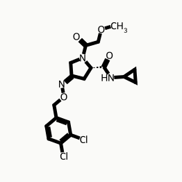 COCC(=O)N1CC(=NOCc2ccc(Cl)c(Cl)c2)C[C@H]1C(=O)NC1CC1